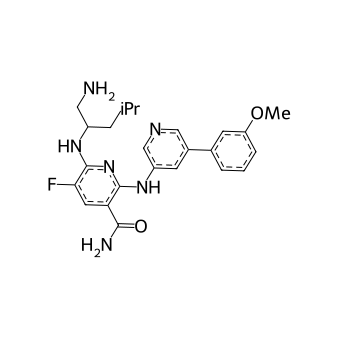 COc1cccc(-c2cncc(Nc3nc(NC(CN)CC(C)C)c(F)cc3C(N)=O)c2)c1